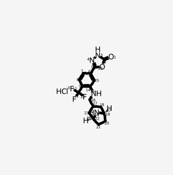 Cl.O=c1[nH]nc(-c2ccc(C(F)(F)F)c(NCC3C[C@H]4CC[C@@H](C3)N4)c2)o1